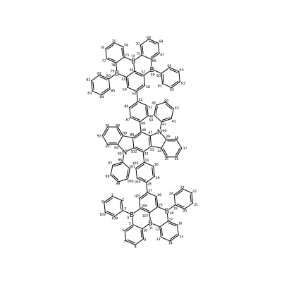 c1ccc(B2c3ccccc3B3c4ccccc4B(c4ccccc4)c4cc(-c5ccc(-c6c7c8ccccc8n(-c8ccccc8)c7c(-c7ccc(-c8cc9c%10c(c8)B(c8ccccc8)c8ccccc8B%10c8ccccc8B9c8ccccc8)cc7)c7c8ccccc8n(-c8ccccc8)c67)cc5)cc2c43)cc1